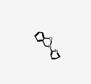 c1ccc(N2COc3ccccc3C2)nc1